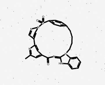 Cc1cc2cc(n1)-c1cnn(c1)S(=O)(=O)c1ccc(cc1)CCCCN1/C(=N/C2=O)Nc2ccccc21